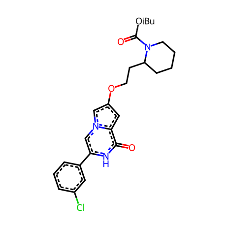 CC(C)COC(=O)N1CCCCC1CCOc1cc2c(=O)[nH]c(-c3cccc(Cl)c3)cn2c1